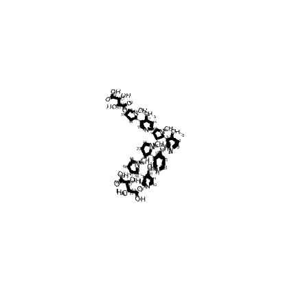 Cc1ccncc1[C@@H]1CCCN1C.Cc1ccncc1[C@@H]1CCCN1C.Cc1ccncc1[C@@H]1CCCN1C.Cc1ccncc1[C@@H]1CCCN1C.O=C(O)C(O)C(O)C(=O)O.O=C(O)C(O)C(O)C(=O)O